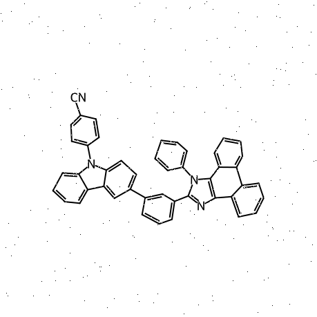 N#Cc1ccc(-n2c3ccccc3c3cc(-c4cccc(-c5nc6c7ccccc7c7ccccc7c6n5-c5ccccc5)c4)ccc32)cc1